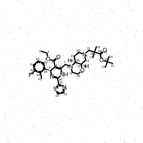 CCOC(=O)C1=C(CN2CCO[C@@H]3CN(CC(C)(C)C(=O)OC(C)(C)C)CC[C@@H]32)NC(c2nccs2)=N[C@H]1c1cccc(F)c1C